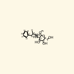 CO[C@H]1O[C@H](CO)[C@@H](O)[C@H](O)[C@H]1NNC(C)Cc1ccccc1